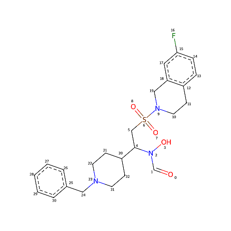 O=CN(O)C(CS(=O)(=O)N1CCc2ccc(F)cc2C1)C1CCN(Cc2ccccc2)CC1